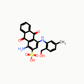 Cc1ccc(CO)c(Nc2cc(S(=O)(=O)O)c(N)c3c2C(=O)c2ccccc2C3=O)c1